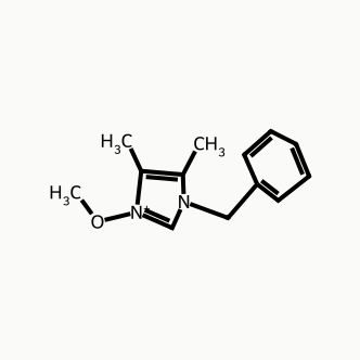 CO[n+]1cn(Cc2ccccc2)c(C)c1C